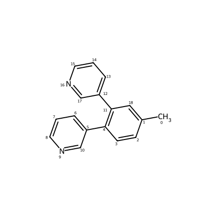 Cc1ccc(-c2cccnc2)c(-c2cccnc2)c1